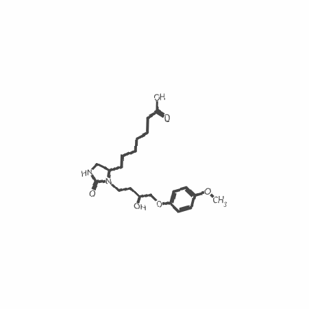 COc1ccc(OCC(O)CCN2C(=O)NCC2CCCCCCC(=O)O)cc1